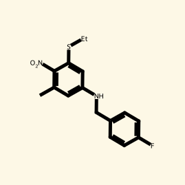 CCSc1cc(NCc2ccc(F)cc2)cc(C)c1[N+](=O)[O-]